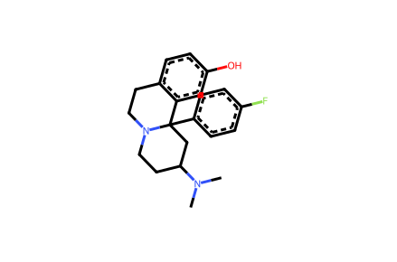 CN(C)C1CCN2CCc3ccc(O)cc3C2(c2ccc(F)cc2)C1